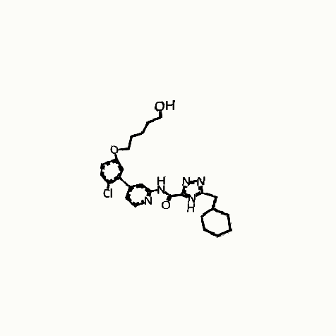 O=C(Nc1cc(-c2cc(OCCCCCO)ccc2Cl)ccn1)c1nnc(CC2CCCCC2)[nH]1